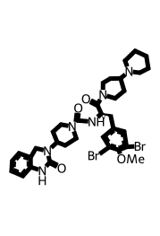 COc1c(Br)cc(C[C@@H](NC(=O)N2CCC(N3Cc4ccccc4NC3=O)CC2)C(=O)N2CCC(N3CCCCC3)CC2)cc1Br